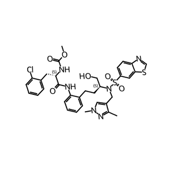 COC(=O)N[C@@H](Cc1ccccc1Cl)C(=O)Nc1ccccc1CC[C@@H](CO)N(Cc1cn(C)nc1C)S(=O)(=O)c1ccc2ncsc2c1